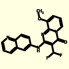 COc1cccn2c(=O)c(C(F)F)c(Nc3ccc4ncccc4c3)nc12